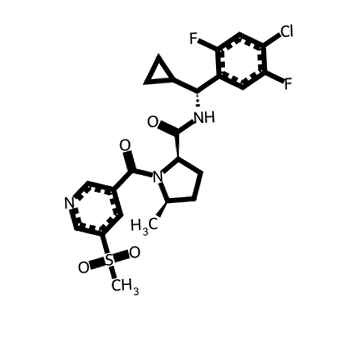 C[C@@H]1CC[C@H](C(=O)N[C@@H](c2cc(F)c(Cl)cc2F)C2CC2)N1C(=O)c1cncc(S(C)(=O)=O)c1